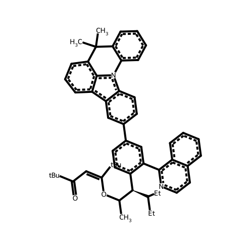 CCC(CC)[C@H](c1ccc(-c2ccc3c(c2)c2cccc4c2n3-c2ccccc2C4(C)C)cc1-c1nccc2ccccc12)C(C)O/C(=C\C(=O)C(C)(C)C)C(C)(C)C